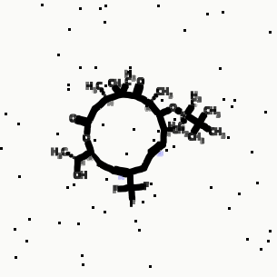 C[C@H]1/C=C/C/C(C(F)(F)F)=C\C[C@@H]([C@@H](C)O)OC(=O)C[C@H](C)C(C)(C)C(=O)[C@H](C)C1O[Si](C)(C)C(C)(C)C